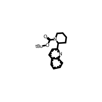 CC(C)(C)OC(=O)N1CCCCC1c1ccc2ccccc2n1